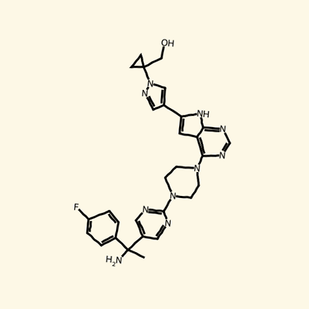 CC(N)(c1ccc(F)cc1)c1cnc(N2CCN(c3ncnc4[nH]c(-c5cnn(C6(CO)CC6)c5)cc34)CC2)nc1